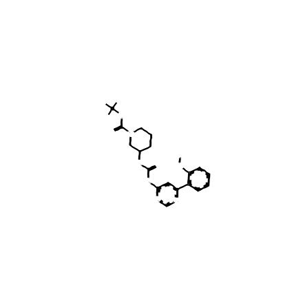 COc1ccccc1-c1cc(NC(=O)NC2CCCN(C(=O)OC(C)(C)C)C2)ncn1